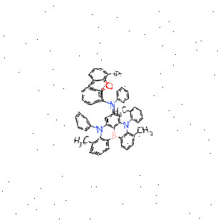 Cc1ccccc1N1c2cc(N(c3ccccc3)c3cccc4c3oc3c(C(C)C)cccc34)cc3c2B(c2cccc(C)c2N3c2ccccc2)c2cccc(C)c21